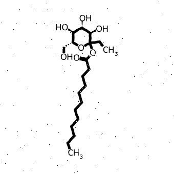 CCCCCCCCCCCC(=O)OC1(CC)O[C@H](CO)[C@@H](O)[C@H](O)[C@H]1O